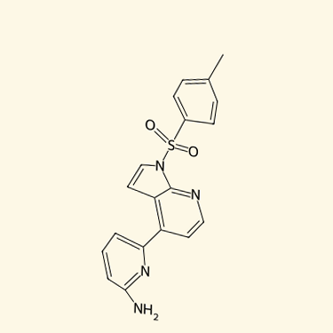 Cc1ccc(S(=O)(=O)n2ccc3c(-c4cccc(N)n4)ccnc32)cc1